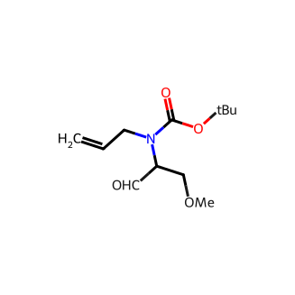 C=CCN(C(=O)OC(C)(C)C)C(C=O)COC